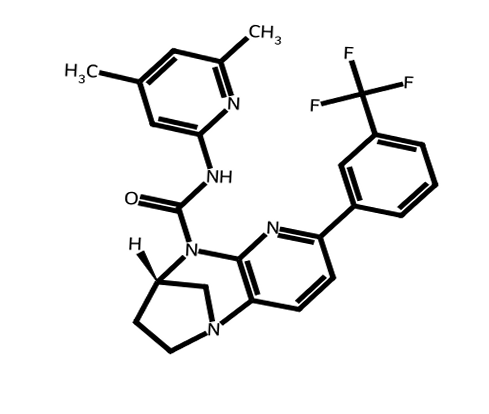 Cc1cc(C)nc(NC(=O)N2c3nc(-c4cccc(C(F)(F)F)c4)ccc3N3CC[C@H]2C3)c1